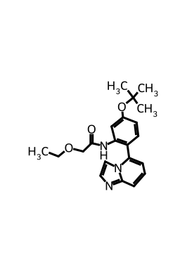 CCOCC(=O)Nc1cc(OC(C)(C)C)ccc1-c1cccc2nccn12